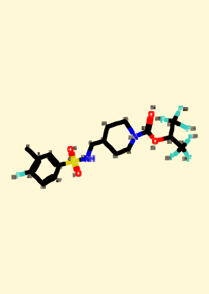 Cc1cc(S(=O)(=O)NCC2CCN(C(=O)OC(C(F)(F)F)C(F)(F)F)CC2)ccc1F